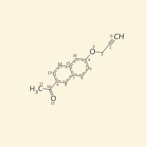 C#CCOc1ccc2cc(C(C)=O)ccc2c1